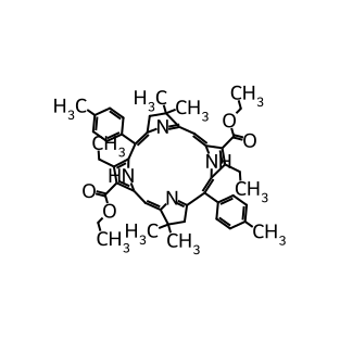 CCOC(=O)c1c(CC)c2[nH]c1cc1nc(c(-c3ccc(C)cc3)c3[nH]c(cc4nc(c2-c2ccc(C)cc2)CC4(C)C)c(C(=O)OCC)c3CC)CC1(C)C